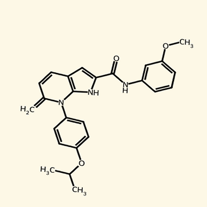 C=C1C=Cc2cc(C(=O)Nc3cccc(OC)c3)[nH]c2N1c1ccc(OC(C)C)cc1